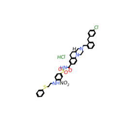 Cl.O=C(NS(=O)(=O)c1ccc(NCCSc2ccccc2)c([N+](=O)[O-])c1)c1ccc2c(c1)CC[C@H]1CN(Cc3ccccc3Cc3ccc(Cl)cc3)CCN21